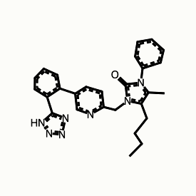 CCCCc1c(C)n(-c2ccccc2)c(=O)n1Cc1ccc(-c2ccccc2-c2nnn[nH]2)cn1